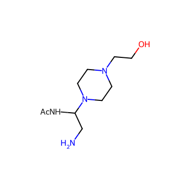 CC(=O)NC(CN)N1CCN(CCO)CC1